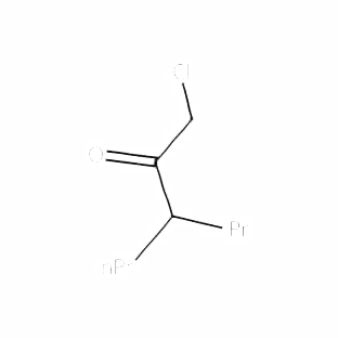 CCCC(C(=O)CCl)C(C)C